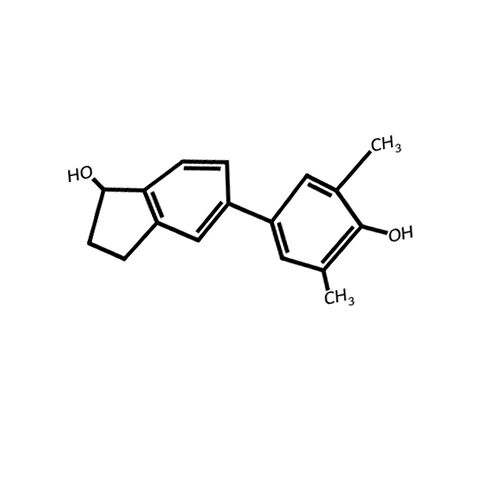 Cc1cc(-c2ccc3c(c2)CCC3O)cc(C)c1O